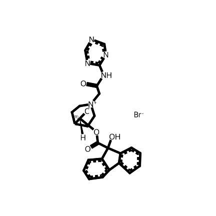 O=C(C[N+]12CCC(CC1)[C@@H](OC(=O)C1(O)c3ccccc3-c3ccccc31)C2)Nc1ncncn1.[Br-]